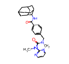 CN(Cc1ccc(C(=O)NC2C3CC4CC(C3)CC2C4)cc1)C(=O)N(C)c1ncccn1